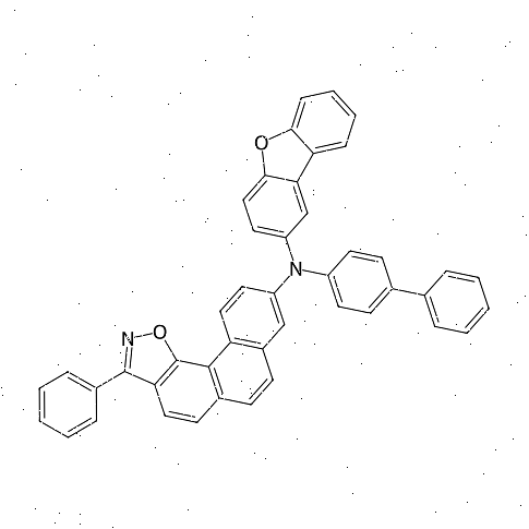 c1ccc(-c2ccc(N(c3ccc4c(ccc5ccc6c(-c7ccccc7)noc6c54)c3)c3ccc4oc5ccccc5c4c3)cc2)cc1